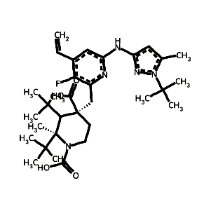 C=Cc1cc(Nc2cc(C)n(C(C)(C)C)n2)nc(C[C@]2(C(=O)O)CCN(C(=O)O)[C@@](C)(C(C)(C)C)C2C(C)(C)C)c1F